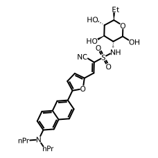 CCCN(CCC)c1ccc2cc(-c3ccc(/C=C(\C#N)S(=O)(=O)N[C@H]4C(O)O[C@H](CC)[C@@H](O)[C@@H]4O)o3)ccc2c1